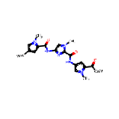 CNc1cc(C(=O)Nc2cn(C)c(C(=O)Nc3cc(C(=O)OC)n(C)c3)n2)n(C)c1